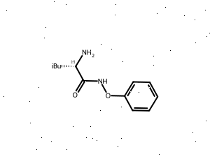 CCC(C)[C@H](N)C(=O)NOc1ccccc1